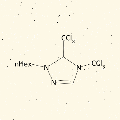 CCCCCCN1N=CN(C(Cl)(Cl)Cl)C1C(Cl)(Cl)Cl